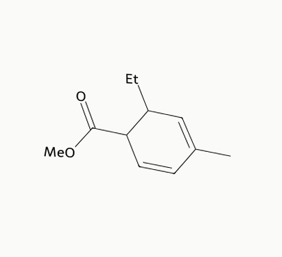 CCC1C=C(C)C=CC1C(=O)OC